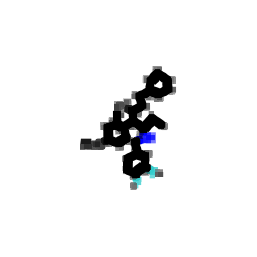 C/C=C(\NCc1ccc(F)c(F)c1)C(c1ccc(OC)cc1C)C(CCc1ccccc1)C(C)C